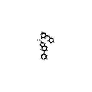 c1cc(-c2ccc3c(n2)CC(Nc2cc(OC4CCCC4)ccn2)=N3)ccn1